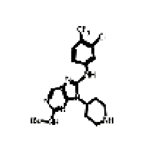 CC(C)(C)Nc1ncc2nc(Nc3ccc(C(F)(F)F)c(Cl)c3)n(C3CCNCC3)c2n1